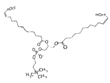 CCCCCCCC/C=C\CCCCCCCCCC(=O)OC[C@H](COP(=O)([O-])OCC[N+](C)(C)C)OC(=O)CCCCCCCCC/C=C\CCCCCCCC